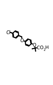 CC(C)(Oc1ccc(OCc2ccc(Cl)cc2)cc1)C(=O)O